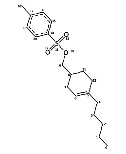 CCCCCC1=CCC(COS(=O)(=O)c2ccc(C)cc2)CC1